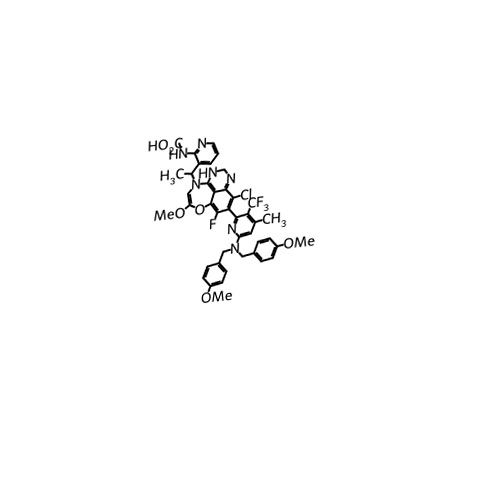 COC1=CN(C(C)c2cccnc2NC(=O)O)C2=c3c(c(F)c(-c4nc(N(Cc5ccc(OC)cc5)Cc5ccc(OC)cc5)cc(C)c4C(F)(F)F)c(Cl)c3=NCN2)O1